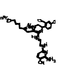 CCCOCCCCc1cc2c(NCCNc3ccc(C#N)c(N)n3)nc(-c3ccc(Cl)cc3Cl)cn2n1